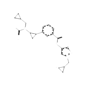 O=C(Nc1cnn(CC2CC2)c1)c1cccc(C2CC2N(CC2CC2)C(=O)O)c1